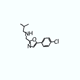 CC(C)CNCc1ncc(-c2ccc(Cl)cc2)o1